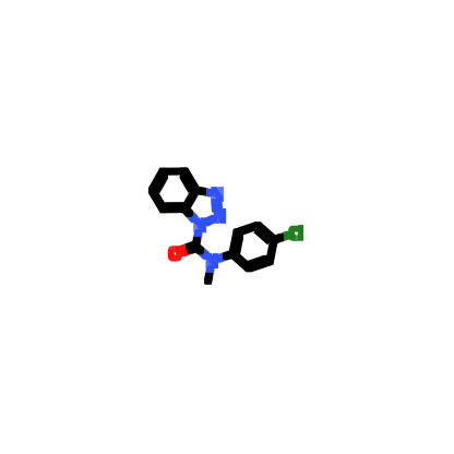 CN(C(=O)n1nnc2ccccc21)c1ccc(Cl)cc1